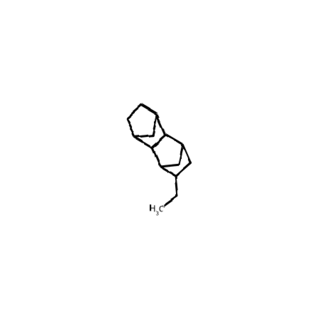 CCC1CC2CC1C1C3CCC(C3)C21